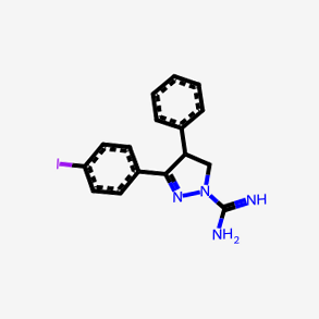 N=C(N)N1CC(c2ccccc2)C(c2ccc(I)cc2)=N1